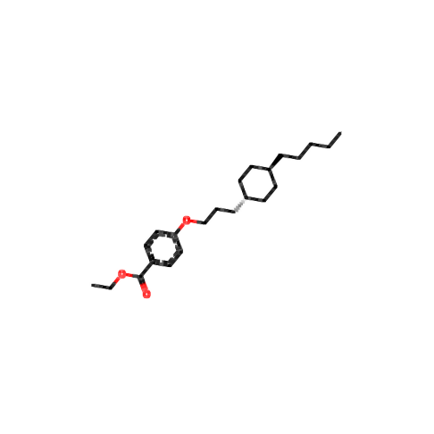 CCCCC[C@H]1CC[C@H](CCCOc2ccc(C(=O)OCC)cc2)CC1